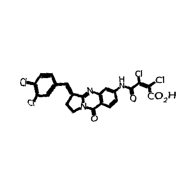 O=C(O)/C(Cl)=C(/Cl)C(=O)Nc1ccc2c(=O)n3c(nc2c1)C(=Cc1ccc(Cl)c(Cl)c1)CC3